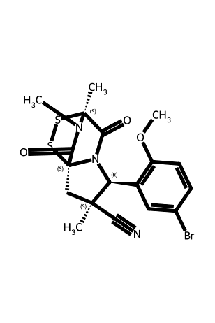 COc1ccc(Br)cc1[C@@H]1N2C(=O)[C@]3(C)SS[C@@]2(C[C@]1(C)C#N)C(=O)N3C